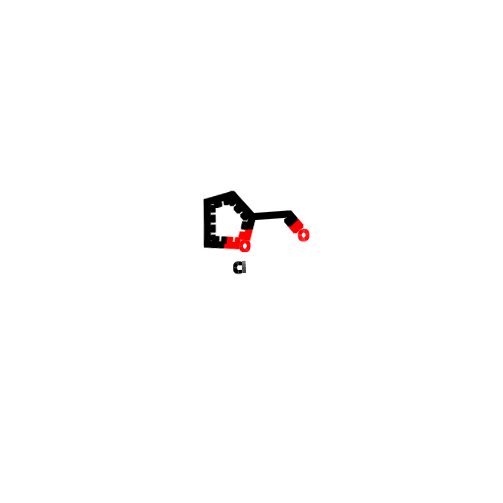 O=Cc1ccco1.[C]